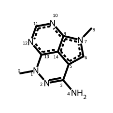 CN1N=C(N)c2cn(C)c3ncnc1c23